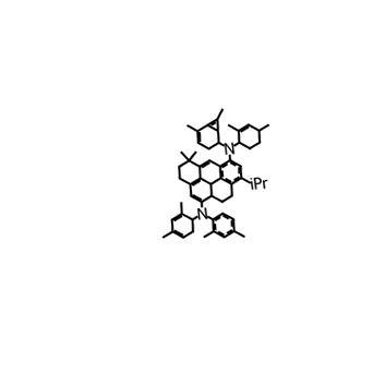 CC1=CCC(N(C2=CC3=C4C(=Cc5c(N(C6CCC(C)C=C6C)C6CC=C(C)C7=C(C)C76)cc(C(C)C)c6c5C4C2CC6)C(C)(C)CC3)c2ccc(C)cc2C)C(C)=C1